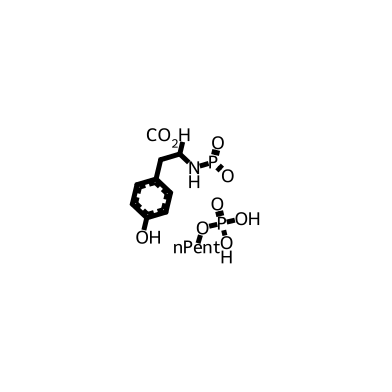 CCCCCOP(=O)(O)O.O=C(O)C(Cc1ccc(O)cc1)NP(=O)=O